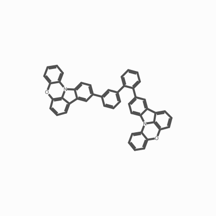 c1cc(-c2ccc3c(c2)c2cccc4c2n3-c2ccccc2O4)cc(-c2ccccc2-c2ccc3c(c2)c2cccc4c2n3-c2ccccc2O4)c1